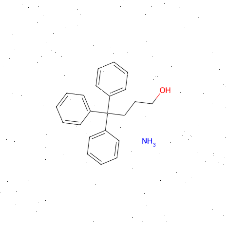 N.OCCCC(c1ccccc1)(c1ccccc1)c1ccccc1